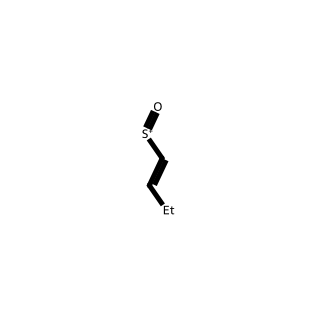 CCC=C[S+]=O